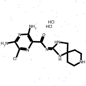 Cl.Cl.Nc1nc(N)c(C(=O)/N=C2\NCC3(CCNCC3)N2)nc1Cl